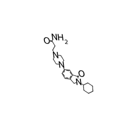 NC(=O)CCN1CCN(c2ccc3c(c2)C(=O)N(C2CCCCC2)C3)CC1